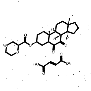 C[C@@]12CCC[C@H]1[C@@H]1C(=O)C(=O)C3C[C@@H](OC(=O)C4CNCCO4)CC[C@]3(C)[C@H]1CC2.O=C(O)/C=C/C(=O)O